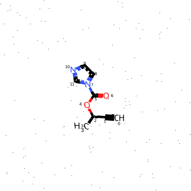 C#CC(C)OC(=O)n1ccnc1